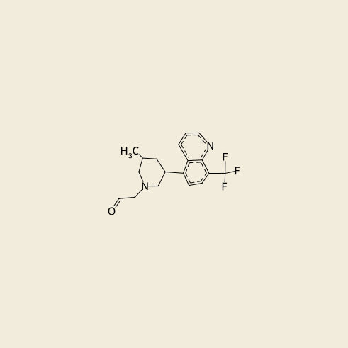 CC1CC(c2ccc(C(F)(F)F)c3ncccc23)CN(CC=O)C1